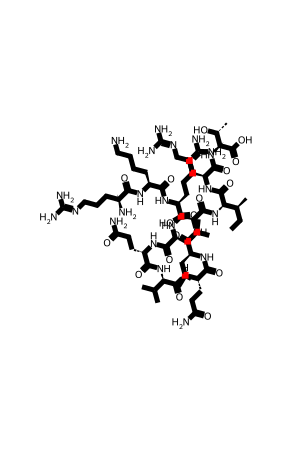 CC[C@H](C)[C@H](NC(=O)[C@H](CO)NC(=O)[C@H](CC(C)C)NC(=O)[C@H](CCC(N)=O)NC(=O)[C@@H](NC(=O)[C@H](CCC(N)=O)NC(=O)[C@H](CC(C)C)NC(=O)[C@H](CCCN=C(N)N)NC(=O)[C@H](CCCCN)NC(=O)[C@@H](N)CCCN=C(N)N)C(C)C)C(=O)N[C@@H](CCCN=C(N)N)C(=O)N[C@H](C(=O)O)[C@@H](C)O